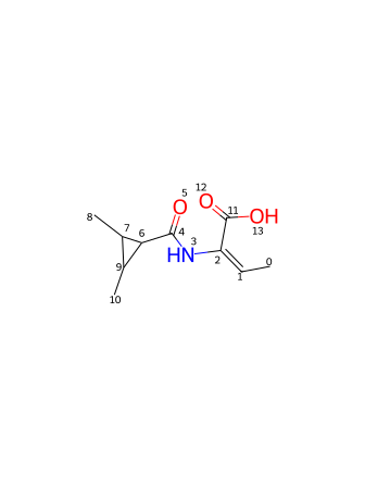 C/C=C(/NC(=O)C1C(C)C1C)C(=O)O